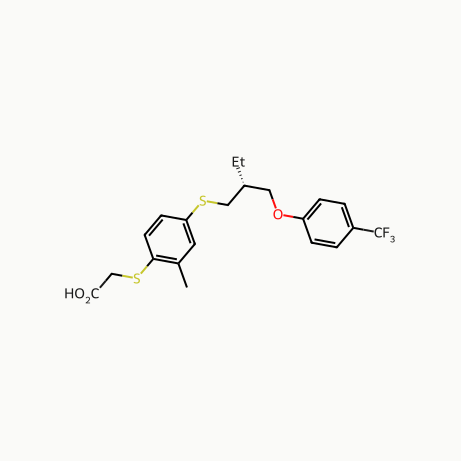 CC[C@H](COc1ccc(C(F)(F)F)cc1)CSc1ccc(SCC(=O)O)c(C)c1